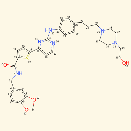 O=C(NCc1ccc2c(c1)OCO2)c1ccc(-c2ccnc(Nc3ccc(CCCN4CCN(CCO)CC4)cc3)n2)s1